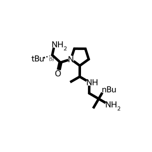 CCCCC(C)(N)CNC(C)C1CCCN1C(=O)[C@@H](N)C(C)(C)C